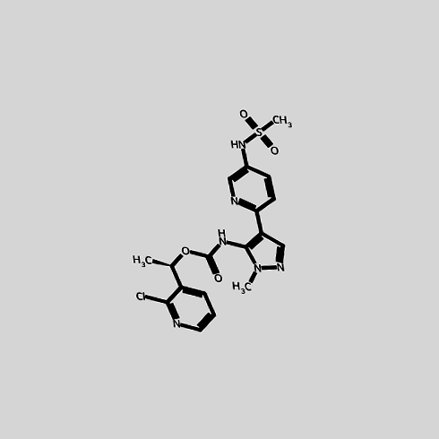 C[C@@H](OC(=O)Nc1c(-c2ccc(NS(C)(=O)=O)cn2)cnn1C)c1cccnc1Cl